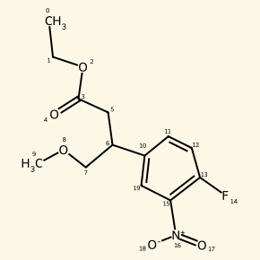 CCOC(=O)CC(COC)c1ccc(F)c([N+](=O)[O-])c1